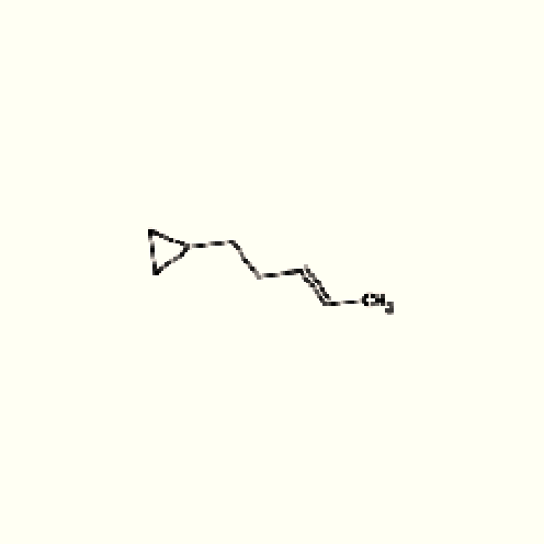 CC=CCCC1CC1